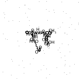 CC(=O)N(C(=O)COCNC(=O)CNC(=O)[C@H](Cc1ccccc1)NC(=O)CNC(=O)CNC(=O)CCCCCN1C(=O)C=CC1=O)[C@H]1CCc2c(C)c(F)cc3nc4c(c1c23)Cn1c-4cc2c(c1=O)COC(=O)[C@H]2O